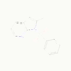 Cc1[c]c2cccnc2n1S(=O)(=O)c1ccccc1